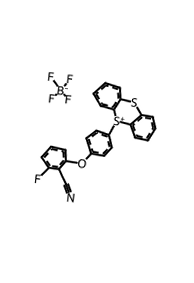 F[B-](F)(F)F.N#Cc1c(F)cccc1Oc1ccc([S+]2c3ccccc3Sc3ccccc32)cc1